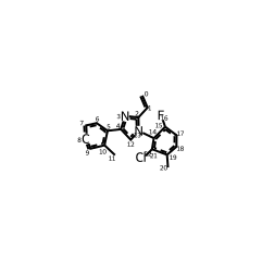 C=Cc1nc(-c2ccccc2C)cn1-c1c(F)ccc(C)c1Cl